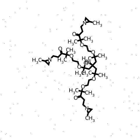 CCC(CC(C)(C)OCCOC(C)(C)C(=O)CCN1CC1C)(CC(C)(C)OCCOC(C)(C)C(=O)CCN1CC1C)CC(C)(C)OCCOC(C)(C)C(=O)CCN1CC1C